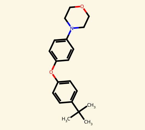 CC(C)(C)c1ccc(Oc2ccc(N3CCOCC3)cc2)cc1